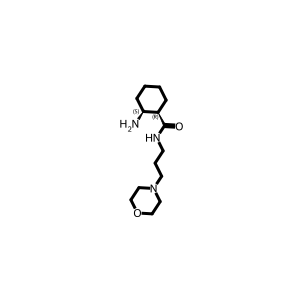 N[C@H]1CCCC[C@H]1C(=O)NCCCN1CCOCC1